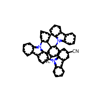 N#Cc1ccc(-n2c3ccccc3c3ccccc32)c(-c2ccccc2-n2c3ccccc3c3ccc(-n4c5ccccc5c5cc(C#N)ccc54)cc32)c1